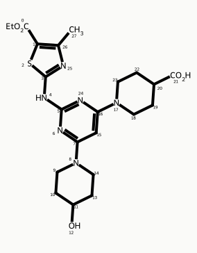 CCOC(=O)c1sc(Nc2nc(N3CCC(O)CC3)cc(N3CCC(C(=O)O)CC3)n2)nc1C